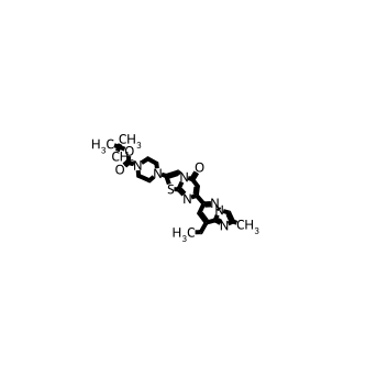 CCc1cc(-c2cc(=O)n3cc(N4CCN(C(=O)OC(C)(C)C)CC4)sc3n2)nn2cc(C)nc12